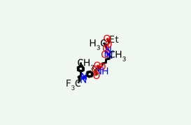 CCC(=O)OC(C)O/N=[N+](\[O-])N(C)CCCCOC(=O)NS(=O)(=O)c1ccc(-n2nc(C(F)(F)F)cc2-c2ccc(C)cc2)cc1